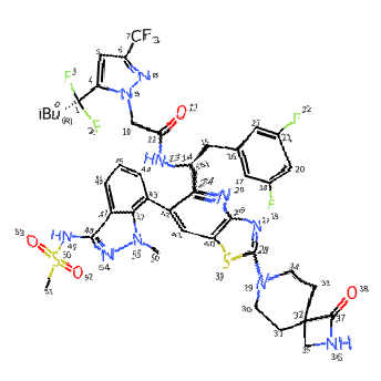 CC[C@@H](C)C(F)(F)c1cc(C(F)(F)F)nn1CC(=O)N[C@@H](Cc1cc(F)cc(F)c1)c1nc2nc(N3CCC4(CC3)CNC4=O)sc2cc1-c1cccc2c(NS(C)(=O)=O)nn(C)c12